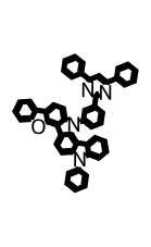 c1ccc(-c2cc(-c3ccccc3)nc(-c3cccc(-n4c5ccc6c7ccccc7oc6c5c5ccc6c(c7ccccc7n6-c6ccccc6)c54)c3)n2)cc1